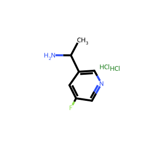 CC(N)c1cncc(F)c1.Cl.Cl